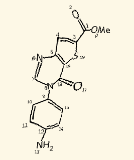 COC(=O)c1cc2ncn(-c3ccc(N)cc3)c(=O)c2s1